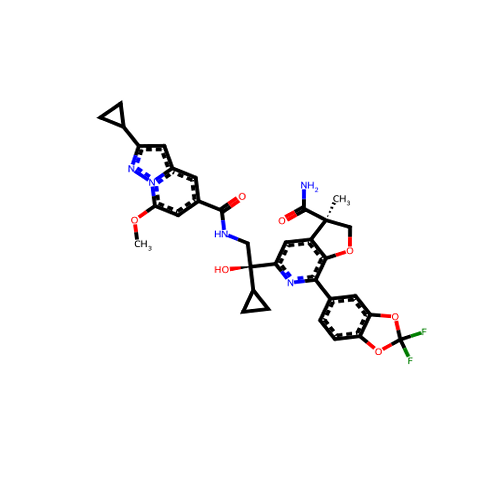 COc1cc(C(=O)NC[C@](O)(c2cc3c(c(-c4ccc5c(c4)OC(F)(F)O5)n2)OC[C@]3(C)C(N)=O)C2CC2)cc2cc(C3CC3)nn12